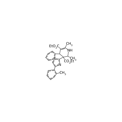 CCOC(=O)C1=C(C)NC(C)C(C(=O)OCC)(c2nc(-c3ccccc3C)cs2)C1c1ccccc1